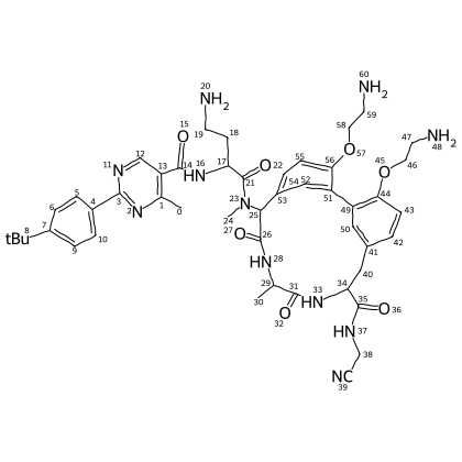 Cc1nc(-c2ccc(C(C)(C)C)cc2)ncc1C(=O)NC(CCN)C(=O)N(C)C1C(=O)NC(C)C(=O)NC(C(=O)NCC#N)Cc2ccc(OCCN)c(c2)-c2cc1ccc2OCCN